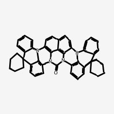 O=C1N2c3cccc4c3B(c3ccccc3C43CCCCC3)c3ccc4ccc5c(c4c32)N1c1cccc2c1B5c1ccccc1C21CCCCC1